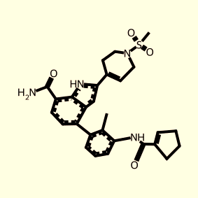 Cc1c(NC(=O)C2=CCCC2)cccc1-c1ccc(C(N)=O)c2[nH]c(C3=CCN(S(C)(=O)=O)CC3)cc12